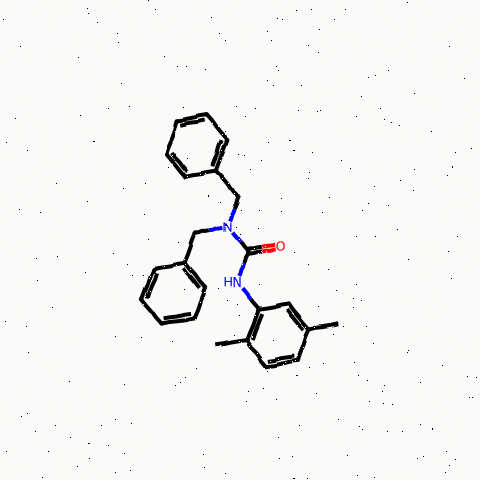 Cc1ccc(C)c(NC(=O)N(Cc2ccccc2)Cc2ccccc2)c1